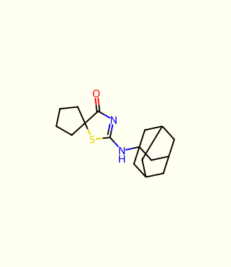 O=C1N=C(NC23CC4CC(CC(C4)C2)C3)SC12CCCC2